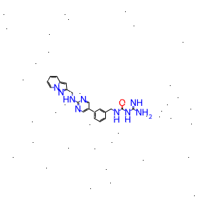 N=C(N)NC(=O)NCc1cccc(-c2cnc(NCc3cc4ccccn4n3)nc2)c1